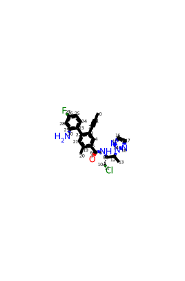 CC#Cc1cc(C(=O)N[C@@H](CCl)C(C)n2nccn2)c(C)cc1-c1ccc(F)cc1N